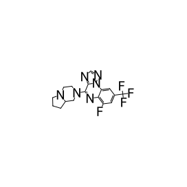 Fc1cc(C(F)(F)F)cc2c1nc(N1CCN3CCCC3C1)c1ncnn12